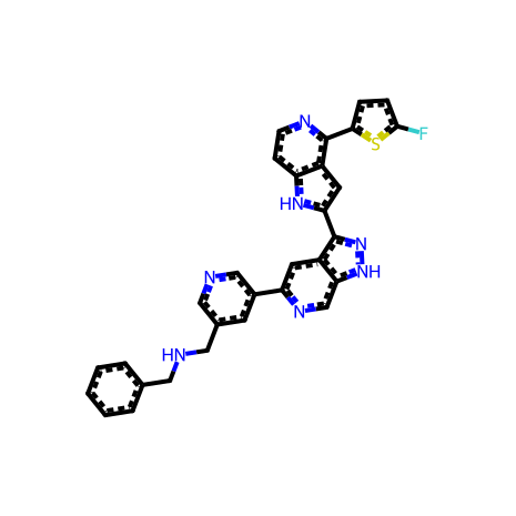 Fc1ccc(-c2nccc3[nH]c(-c4n[nH]c5cnc(-c6cncc(CNCc7ccccc7)c6)cc45)cc23)s1